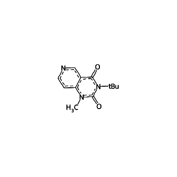 Cn1c(=O)n(C(C)(C)C)c(=O)c2cnccc21